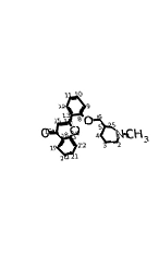 CN1CCCC(COc2ccccc2-c2cc(=O)c3ccccc3o2)C1